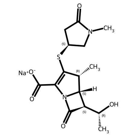 C[C@@H](O)[C@H]1C(=O)N2C(C(=O)[O-])=C(S[C@H]3CC(=O)N(C)C3)[C@H](C)[C@H]12.[Na+]